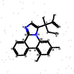 C=C(C)C(C)(CC(C)C)c1cnc2c3ccccc3c3c(C)cc(C)cc3n12